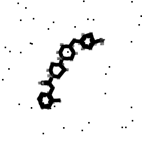 Cc1ccccc1CC(=O)N1CCC(N2CCC(Cc3ccc(Br)cc3)CC2)CC1